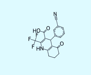 N#Cc1cccc(C2C3=C(CCCC3=O)NC(C(F)(F)F)=C2C(=O)O)c1